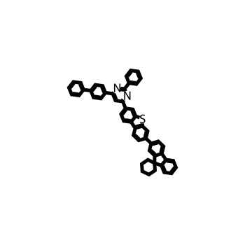 c1ccc(-c2ccc(-c3cc(-c4ccc5c(c4)sc4cc(-c6ccc7c(c6)C6(CCCCC6)c6ccccc6-7)ccc45)nc(-c4ccccc4)n3)cc2)cc1